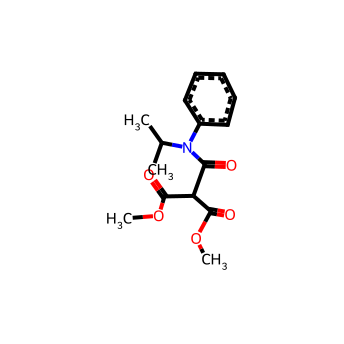 COC(=O)C(C(=O)OC)C(=O)N(c1ccccc1)C(C)C